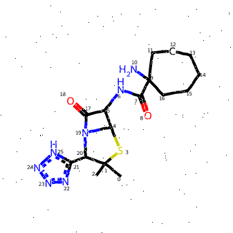 CC1(C)SC2C(NC(=O)C3(N)CCCCCC3)C(=O)N2C1c1nnn[nH]1